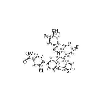 COC(=O)c1ccc(-c2cccc(-c3c(-c4ccsc4C#N)c4cc(F)ccc4n3Sc3ccc(C)c(F)c3)c2)c(Cl)c1